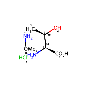 CON.C[C@@H](O)[C@H](N)C(=O)O.Cl